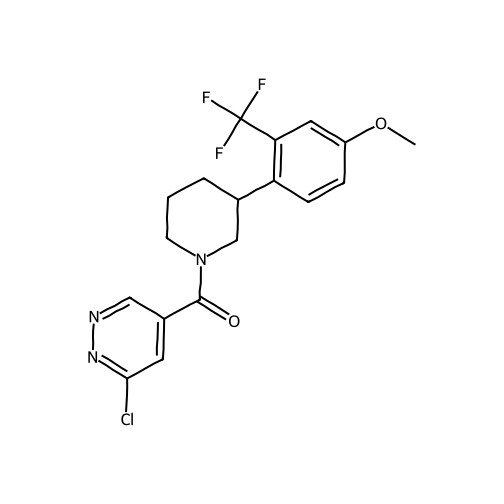 COc1ccc(C2CCCN(C(=O)c3cnnc(Cl)c3)C2)c(C(F)(F)F)c1